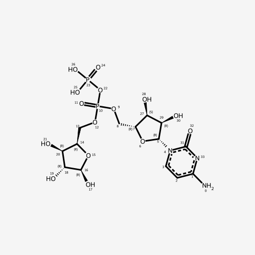 Nc1ccn([C@@H]2O[C@H](COP(=O)(OC[C@H]3O[C@@H](O)[C@H](O)[C@H]3O)OP(=O)(O)O)[C@@H](O)[C@H]2O)c(=O)n1